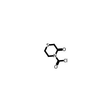 O=C(Cl)N1CCSCC1=O